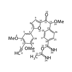 C#Cc1c(OC)cc(-c2ccc(C(=O)C(OC)c3ccc(C(=N)OC(C)=N)cc3)o2)cc1OC